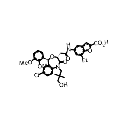 CCc1cc(NC(=O)C[C@H]2O[C@H](c3cccc(OC)c3OC)c3cc(Cl)ccc3N(CC(C)(C)CO)C2=O)cc2cc(C(=O)O)oc12